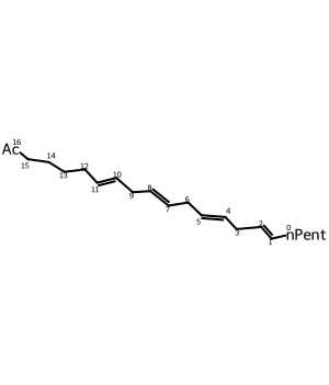 CCCCCC=CCC=CCC=CCC=CCCCCC(C)=O